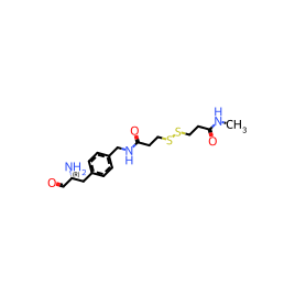 CNC(=O)CCSSCCC(=O)NCc1ccc(C[C@@H](N)C=O)cc1